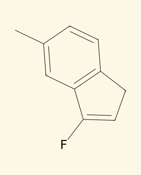 Cc1ccc2c(c1)C(F)=CC2